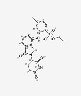 CCOS(=O)(=O)c1ccc(C)cc1Oc1cccc2c1CN(C1CCC(=O)NC1=O)C2=O